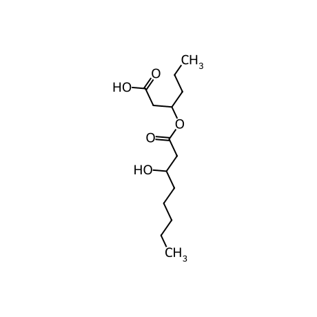 CCCCCC(O)CC(=O)OC(CCC)CC(=O)O